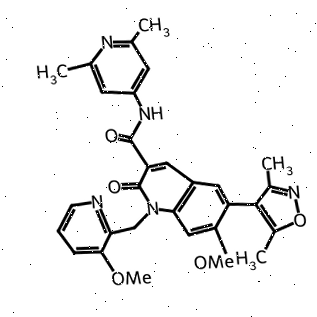 COc1cc2c(cc1-c1c(C)noc1C)cc(C(=O)Nc1cc(C)nc(C)c1)c(=O)n2Cc1ncccc1OC